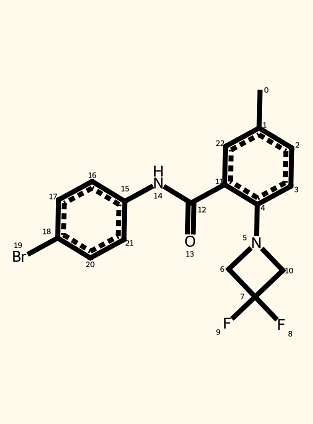 Cc1ccc(N2CC(F)(F)C2)c(C(=O)Nc2ccc(Br)cc2)c1